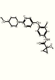 COC1CCN(c2ncc(Oc3ccc(NC(=O)C4(OC)CC4)cc3C)cn2)CC1